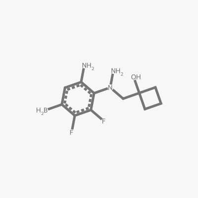 Bc1cc(N)c(N(N)CC2(O)CCC2)c(F)c1F